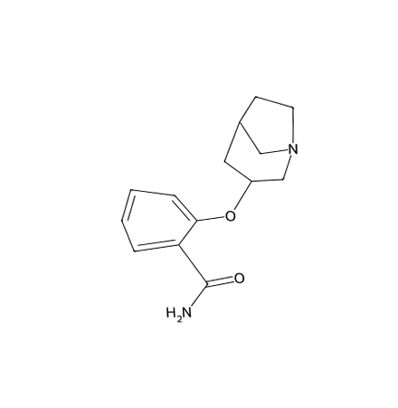 NC(=O)c1ccccc1OC1CC2CCN(C2)C1